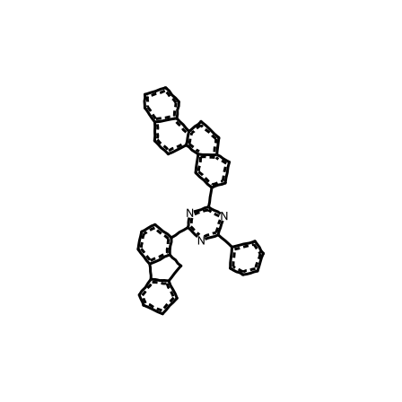 c1ccc(-c2nc(-c3ccc4ccc5c6ccccc6ccc5c4c3)nc(-c3cccc4c3Cc3ccccc3-4)n2)cc1